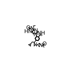 CCn1c(=O)[nH]c2cnc(N[C@@H](C)c3ccc(C(CC4CC4)N(C)C4CN(C(C)=O)C4)cc3)nc21